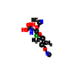 Cc1c(COCCN2CCCC2)cccc1-c1cccc(COc2cc(OCc3cncc(C#N)c3)c(CNC(CO)(CO)CO)cc2Cl)c1C